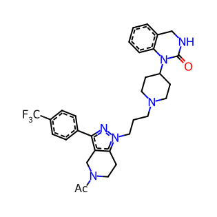 CC(=O)N1CCc2c(c(-c3ccc(C(F)(F)F)cc3)nn2CCCN2CCC(N3C(=O)NCc4ccccc43)CC2)C1